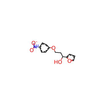 O=[N+]([O-])c1ccc(OCCC(O)c2ccco2)cc1